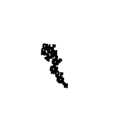 N#CCC1(Cn2c(Cc3ccc(-c4ccnc(OCc5ccc(C#N)cc5F)n4)cc3F)nc3c(F)cc(C(=O)O)cc32)CC1